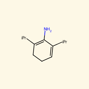 CC(C)C1=CCCC(C(C)C)=C1N